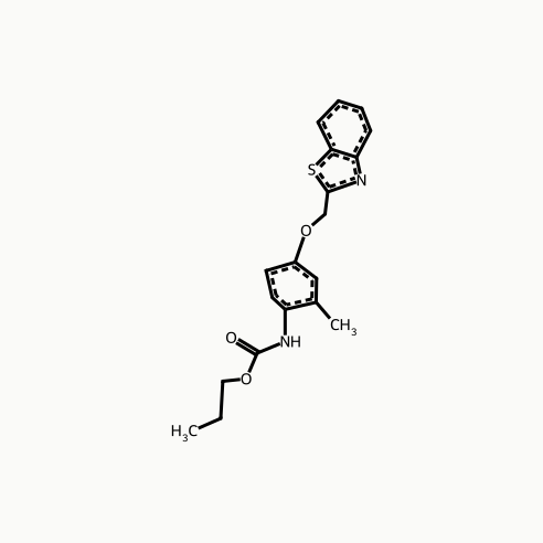 CCCOC(=O)Nc1ccc(OCc2nc3ccccc3s2)cc1C